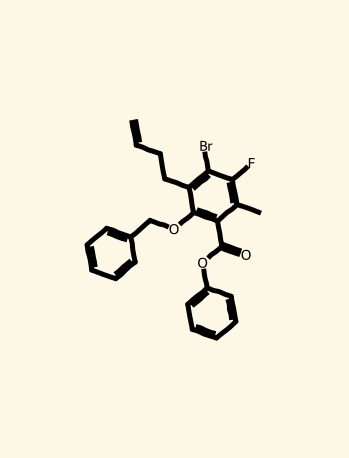 C=CCCc1c(Br)c(F)c(C)c(C(=O)Oc2ccccc2)c1OCc1ccccc1